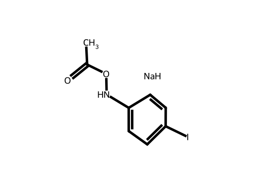 CC(=O)ONc1ccc(I)cc1.[NaH]